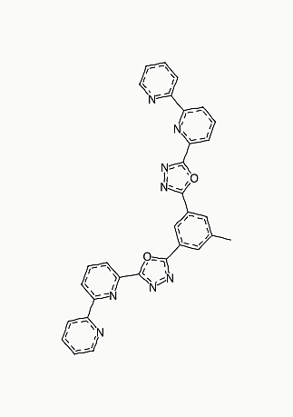 Cc1cc(-c2nnc(-c3cccc(-c4ccccn4)n3)o2)cc(-c2nnc(-c3cccc(-c4ccccn4)n3)o2)c1